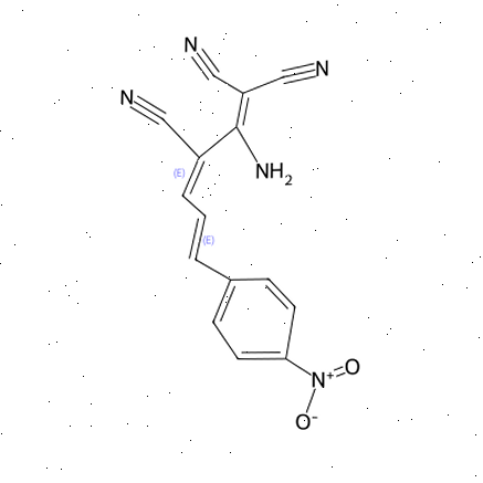 N#CC(C#N)=C(N)/C(C#N)=C\C=C\c1ccc([N+](=O)[O-])cc1